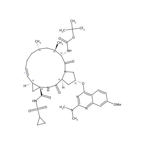 COc1ccc2c(O[C@@H]3C[C@H]4C(=O)N[C@]5(C(=O)NS(=O)(=O)C6CC6)C[C@H]5/C=C\CC[C@H](C)C[C@@H](C)[C@H](NC(=O)OC(C)(C)C(F)(F)F)C(=O)N4C3)nc(N(C)C)nc2c1